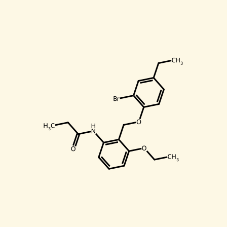 CCOc1cccc(NC(=O)CC)c1COc1ccc(CC)cc1Br